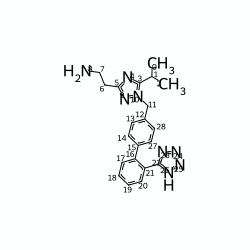 CC(C)c1nc(CCN)nn1Cc1ccc(-c2ccccc2-c2nnn[nH]2)cc1